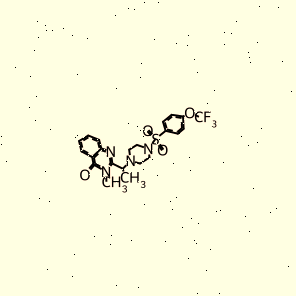 CC(c1nc2ccccc2c(=O)n1C)N1CCN(S(=O)(=O)c2ccc(OC(F)(F)F)cc2)CC1